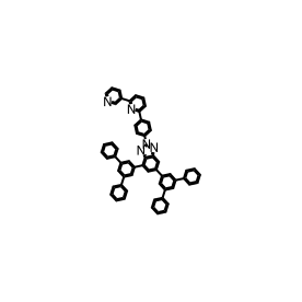 c1ccc(-c2cc(-c3ccccc3)cc(-c3cc(-c4cc(-c5ccccc5)cc(-c5ccccc5)c4)c4nn(-c5ccc(-c6cccc(-c7cccnc7)n6)cc5)nc4c3)c2)cc1